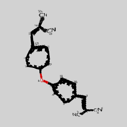 N#CC(C#N)=Cc1ccc(Oc2ccc(C=C(C#N)C#N)cc2)cc1